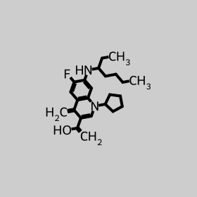 C=C(O)C1=CN(C2CCCC2)c2cc(NC(CC)CCCC)c(F)cc2C1=C